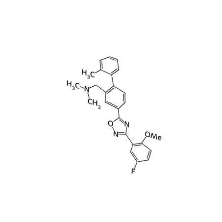 COc1ccc(F)cc1-c1noc(-c2ccc(-c3ccccc3C)c(CN(C)C)c2)n1